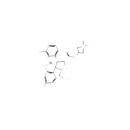 CC(C)(C)C[C@@H]1N[C@@H](C(=O)NC2C[Si](C)(O)C2)[C@H](c2cccc(Cl)c2F)[C@]12C(=O)Nc1cc(Cl)ccc12